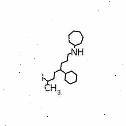 CC(I)CCC(CCCNC1CCCCCC1)C1CCCCC1